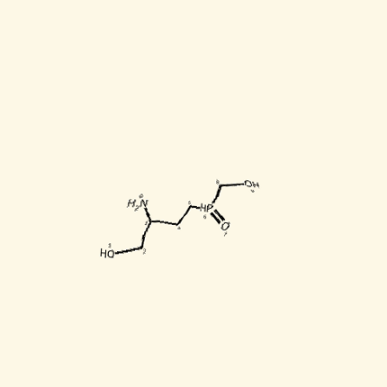 NC(CO)CC[PH](=O)CO